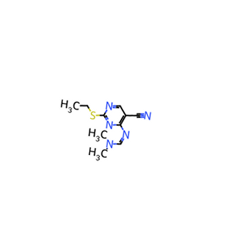 CCSc1ncc(C#N)c(/N=C\N(C)C)n1